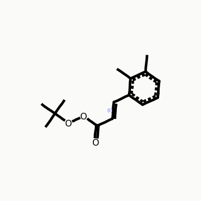 Cc1cccc(/C=C/C(=O)OOC(C)(C)C)c1C